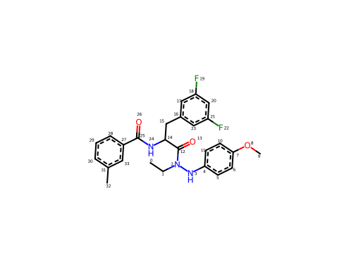 CCN(Nc1ccc(OC)cc1)C(=O)C(Cc1cc(F)cc(F)c1)NC(=O)c1cccc(C)c1